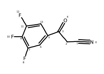 N#CCC(=O)c1cc(F)c(F)c(F)c1